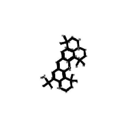 CCCC(C)(C)c1cc2c(c3c1=NCCC3(C)C)Oc1c(cc3c4c1C(C)(C)CCN4CCC3(C)C)C=2